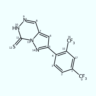 FC(F)(F)c1ccc(-c2cc3cn[nH]c(=S)n3n2)c(C(F)(F)F)c1